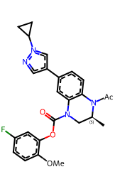 COc1ccc(F)cc1OC(=O)N1C[C@H](C)N(C(C)=O)c2ccc(-c3cnn(C4CC4)c3)cc21